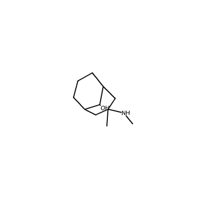 CNC1(C)CC2CCCC(C1)C2O